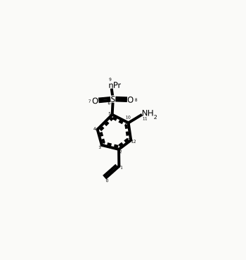 C=Cc1ccc(S(=O)(=O)CCC)c(N)c1